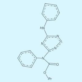 CC(C)OC(=O)N(c1ccccc1)c1ncnc(Nc2ccccc2)n1